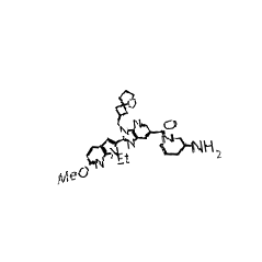 CCn1c(-c2nc3cc(C(=O)N4CCCC(N)C4)cnc3n2CC2CC3(CCCO3)C2)cc2ccc(OC)nc21